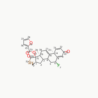 C[C@@H]1CC2C3C[C@H](F)C4=CC(=O)C=C[C@]4(C)C3=CC[C@]2(C)[C@@]1(OC(=O)c1ccco1)C(=O)S